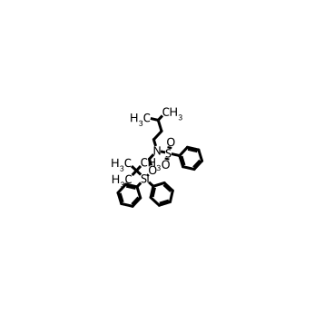 CC(C)CCN(CO[Si](c1ccccc1)(c1ccccc1)C(C)(C)C)S(=O)(=O)c1ccccc1